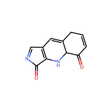 O=C1N=CC2=C1NC1C(=O)C=CCC1=C2